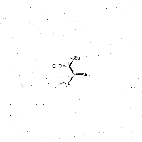 CC[C@H](C)[C@@H](C=O)N(C(=O)O)C(C)(C)C